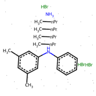 Br.Br.Br.CCCC.CCCC.CCCC.CCCC.Cc1cc(C)cc(Nc2ccccc2)c1.N